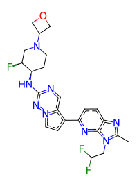 Cc1nc2ccc(-c3ccn4nc(N[C@@H]5CCN(C6COC6)C[C@@H]5F)ncc34)nc2n1CC(F)F